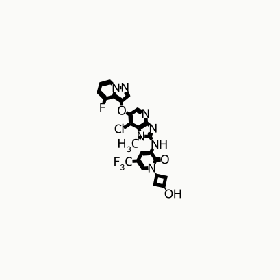 Cn1c(Nc2cc(C(F)(F)F)cn([C@H]3C[C@@H](O)C3)c2=O)nc2ncc(Oc3cnn4cccc(F)c34)c(Cl)c21